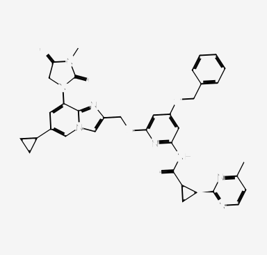 Cc1ccnc([C@H]2CC2C(=O)Nc2cc(OCc3ccccc3)cc(OCc3cn4cc(C5CC5)cc(N5CC(=O)N(C)C5=O)c4n3)n2)n1